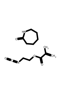 C=C(C)C(=O)OCCN=C=O.O=C1CCCCCN1